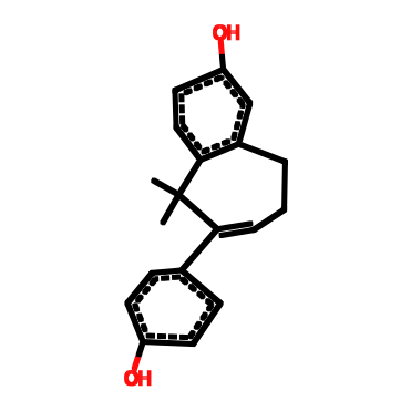 CC1(C)C(c2ccc(O)cc2)=CCCc2cc(O)ccc21